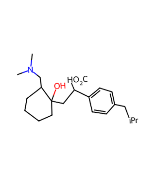 CC(C)Cc1ccc(C(CC2(O)CCCCC2CN(C)C)C(=O)O)cc1